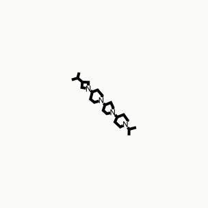 CC(C)C1CN(C2CCN(C3CCN(C4CCN(C(C)C)CC4)CC3)CC2)C1